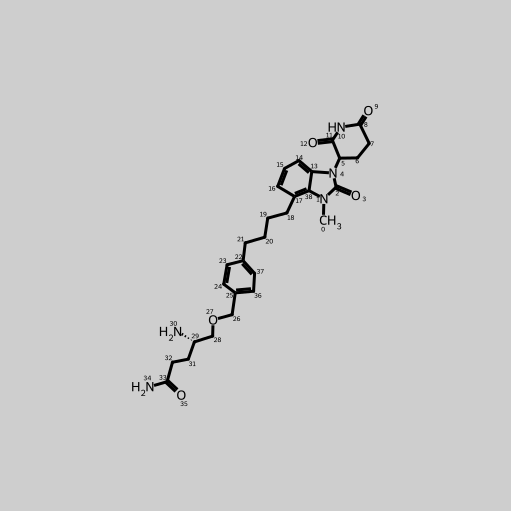 Cn1c(=O)n(C2CCC(=O)NC2=O)c2cccc(CCCCc3ccc(COC[C@@H](N)CCC(N)=O)cc3)c21